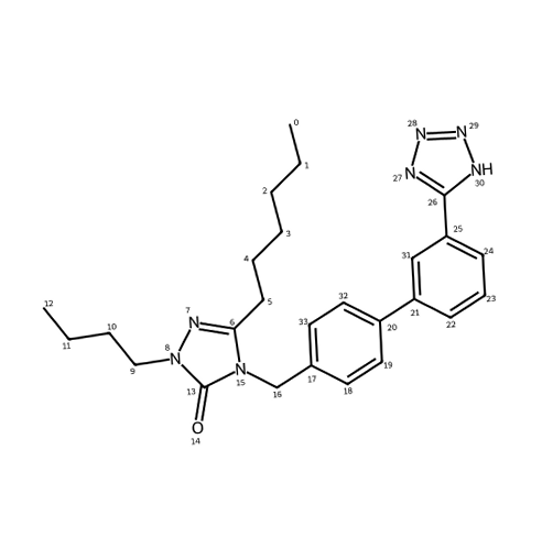 CCCCCCc1nn(CCCC)c(=O)n1Cc1ccc(-c2cccc(-c3nnn[nH]3)c2)cc1